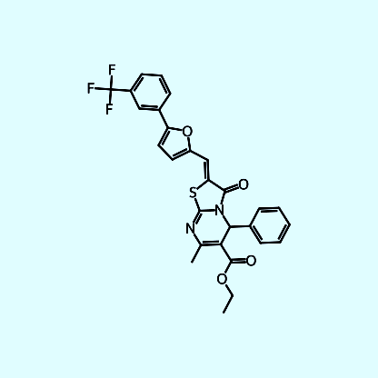 CCOC(=O)C1=C(C)N=c2s/c(=C\c3ccc(-c4cccc(C(F)(F)F)c4)o3)c(=O)n2C1c1ccccc1